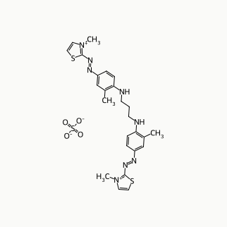 Cc1cc(/N=N/c2scc[n+]2C)ccc1NCCCNc1ccc(/N=N/c2scc[n+]2C)cc1C.O=S(=O)([O-])[O-]